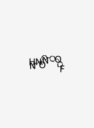 CN(C)CCNC(=O)c1cccc(-c2ccc(Oc3ccc(F)cc3)cc2)n1